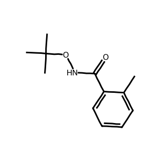 Cc1ccccc1C(=O)NOC(C)(C)C